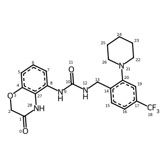 O=C1COc2cccc(NC(=O)NCc3ccc(C(F)(F)F)cc3N3CCCCC3)c2N1